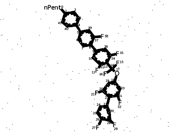 CCCCCc1ccc(-c2ccc(-c3cc(F)c(C(F)(F)Oc4cc(F)c(-c5ccc(F)c(F)c5)c(F)c4)c(F)c3)c(F)c2)cc1